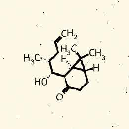 C=CC[C@@H](C)[C@@H](O)[C@@H]1C(=O)CC[C@@H]2[C@@H]1C2(C)C